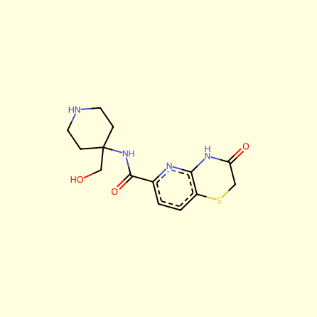 O=C1CSc2ccc(C(=O)NC3(CO)CCNCC3)nc2N1